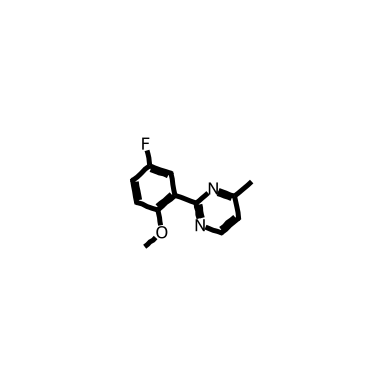 COc1ccc(F)cc1-c1nccc(C)n1